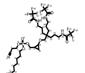 N#CCCOP(=O)(OCCCCCCO)OCC1CC1OCC(CCCNC(=O)C(F)(F)F)(CCCNC(=O)C(F)(F)F)CCCNC(=O)C(F)(F)F